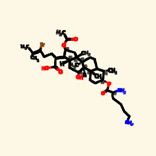 CC(=O)O[C@H]1C[C@@]2(C)[C@H](C[C@@H](O)[C@@H]3[C@@]4(C)CC[C@@H](OC(=O)[C@@H](N)CCCCN)[C@@H](C)C4CC[C@@]32C)C1=C(CCC(Br)=C(C)C)C(=O)O